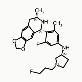 Cc1cc(N[C@H]2CCN(CCCF)C2)cc(F)c1[C@H]1N[C@H](C)Cc2cc3c(cc21)OCO3